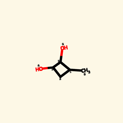 CC1CC(O)C1O